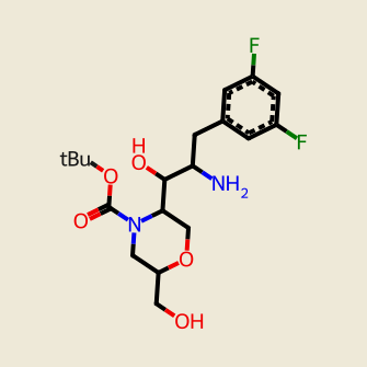 CC(C)(C)OC(=O)N1CC(CO)OCC1C(O)C(N)Cc1cc(F)cc(F)c1